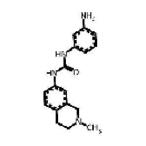 CN1CCc2ccc(NC(=O)Nc3cccc(N)c3)cc2C1